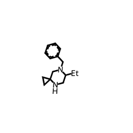 CCC1CNC2(CC2)CN1Cc1ccccc1